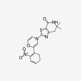 CC1(C)Cc2nc(N3C=COC(C4=C([N+](=O)[O-])C=CCC4)=C3)sc2C(=O)N1